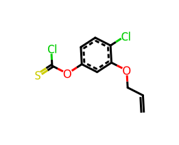 C=CCOc1cc(OC(=S)Cl)ccc1Cl